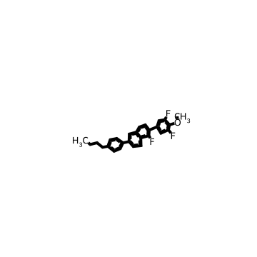 CCCCc1ccc(-c2ccc3c(F)c(-c4cc(F)c(OC)c(F)c4)ccc3c2)cc1